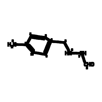 Nc1ccc(CNBC=O)cc1